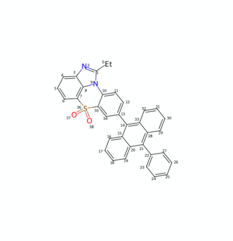 CCc1nc2cccc3c2n1-c1ccc(-c2c4ccccc4c(-c4ccccc4)c4ccccc24)cc1S3(=O)=O